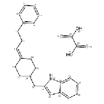 C(CCc1ccccc1)=C1CCN(Cc2cc3ccccc3[nH]2)CC1.O=C(O)C(=O)O